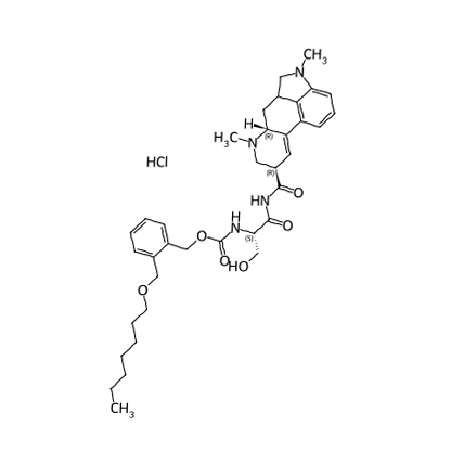 CCCCCCCOCc1ccccc1COC(=O)N[C@@H](CO)C(=O)NC(=O)[C@@H]1C=C2c3cccc4c3C(C[C@H]2N(C)C1)CN4C.Cl